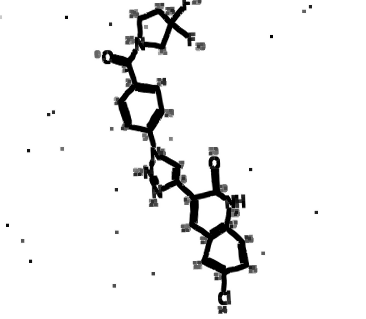 O=C(c1ccc(-n2cc(-c3cc4cc(Cl)ccc4[nH]c3=O)nn2)cc1)N1CCC(F)(F)C1